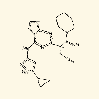 CC[C@@H](C(=N)N1CC[CH]CC1)c1nc(Nc2cc(C3CC3)[nH]n2)n2cccc2n1